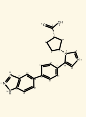 O=C(O)[C@H]1CC[C@@H](n2cncc2-c2ccc(-c3ccc4[nH]nnc4c3)cc2)C1